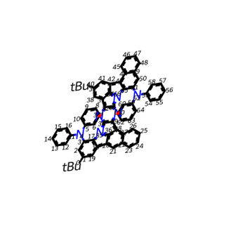 CC(C)(C)c1cc(N(c2ccccc2)c2ccccc2)c2c(c1)c1cc3ccccc3c3c4nc5c(nc4n2c13)c1cc(C(C)(C)C)cc2c3c4ccccc4cc(N(c4ccccc4)c4ccccc4)c3n5c12